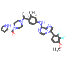 C=C(c1ccc(Nc2nccn3c(-c4ccc(OC)c(F)c4F)cnc23)cc1C)N1CCN(C(=O)[C@@H]2CCCN2)CC1